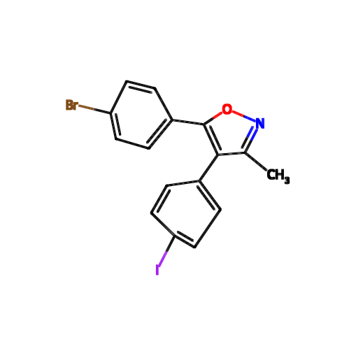 Cc1noc(-c2ccc(Br)cc2)c1-c1ccc(I)cc1